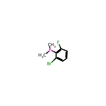 CP(C)c1c(F)cccc1Br